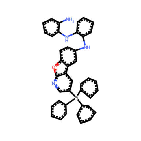 Nc1ccccc1Nc1ccccc1Nc1ccc2oc3ncc([Si](c4ccccc4)(c4ccccc4)c4ccccc4)cc3c2c1